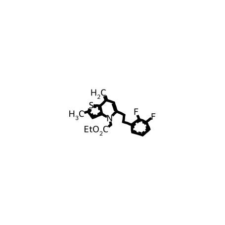 C=C1C=C(CCc2cccc(F)c2F)N(CC(=O)OCC)c2cc(C)sc21